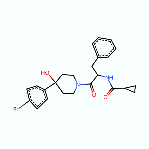 O=C(NC(Cc1ccccc1)C(=O)N1CCC(O)(c2ccc(Br)cc2)CC1)C1CC1